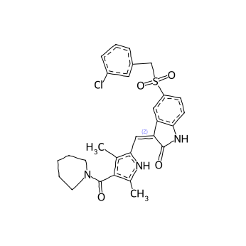 Cc1[nH]c(/C=C2\C(=O)Nc3ccc(S(=O)(=O)Cc4cccc(Cl)c4)cc32)c(C)c1C(=O)N1CCCCC1